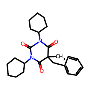 CC1(Cc2ccccc2)C(=O)N(C2CCCCC2)C(=O)N(C2CCCCC2)C1=O